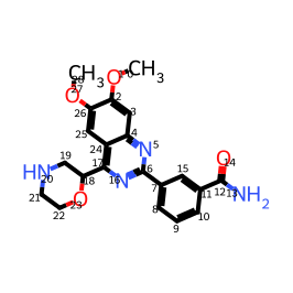 COc1cc2nc(-c3cccc(C(N)=O)c3)nc(C3CNCCO3)c2cc1OC